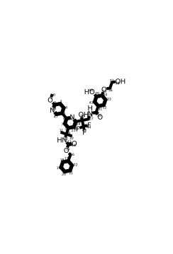 COc1ccc(-c2cc(C(C)(C)NC(=O)OCc3ccccc3)cc(C(O)(CNC(=O)c3ccc(OCCO)c(O)c3)C(F)(F)F)n2)cn1